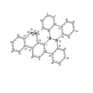 c1ccc2c(c1)B1c3c(ccc4c5ccccc5c5ccccc5c34)-c3ccccc3N1c1ccccc1-2